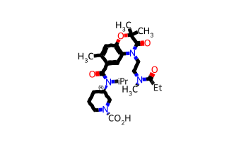 CCC(=O)N(C)CCN1C(=O)C(C)(C)Oc2cc(C)c(C(=O)N(C(C)C)[C@@H]3CCCN(C(=O)O)C3)cc21